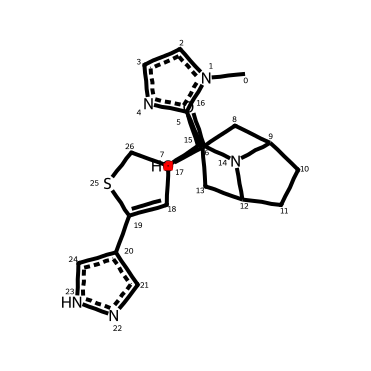 Cn1ccnc1C1(O)CC2CCC(C1)N2C(=O)C1C=C(c2cn[nH]c2)SC1